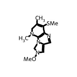 CON1C=C2C=NC3=C(N(C)CC(C)=C3SC)N2C1